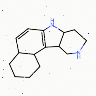 C1=CC2CCCCC2C2=C1NC1CCNCC21